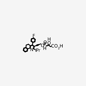 CC(C)c1nc2c(c(-c3ccc(F)cc3)c1C#CCO[PH](=O)C[C@@H](O)CC(=O)O)CCc1ccccc1-2